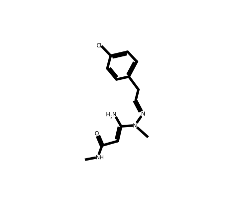 CNC(=O)/C=C(\N)N(C)/N=C/Cc1ccc(Cl)cc1